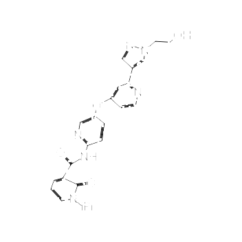 CC(C)n1cccc(C(=O)Nc2ccc(Oc3ccnc(-c4cnn(CCO)c4)c3)cn2)c1=O